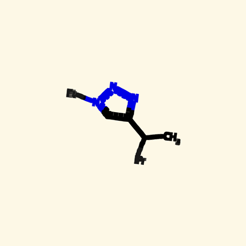 CCn1cc(C(C)C(C)C)nn1